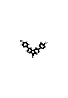 O=C1c2ncc(-c3ccc(Br)cc3)cc2-c2cc(-c3ccc(Br)cc3)cnc21